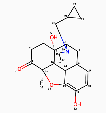 O=C1CC[C@@]2(O)C3CC4C=CC(O)=C5O[C@@H]1[C@]2(CCN3CC1CC1)C54